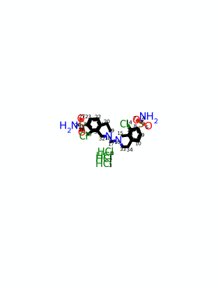 Cl.Cl.Cl.Cl.NS(=O)(=O)c1ccc2c(c1Cl)CN(CN1CCc3ccc(S(N)(=O)=O)c(Cl)c3C1)CC2